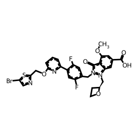 COc1cc(C(=O)O)cc2c1c(=O)n(Cc1cc(F)c(-c3cccc(OCc4ncc(Br)s4)n3)cc1F)n2C[C@@H]1CCO1